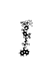 CC(C)(C)N(C(=O)O)[C@@H]1CCCN(C(=O)c2ccc(NCCCNC(=O)OCC3c4ccccc4-c4ccccc43)c([N+](=O)[O-])c2)C1